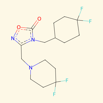 O=c1onc(CN2CCC(F)(F)CC2)n1CC1CCC(F)(F)CC1